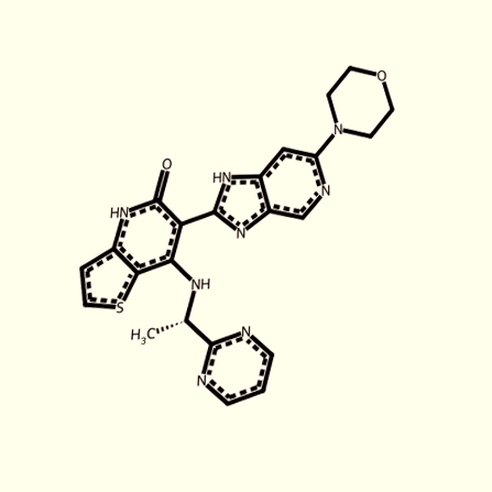 C[C@H](Nc1c(-c2nc3cnc(N4CCOCC4)cc3[nH]2)c(=O)[nH]c2ccsc12)c1ncccn1